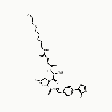 Cc1ncsc1-c1ccc(CNC(=O)[C@@H]2C[C@@H](O)CN2C(=O)C(NC(=O)CCC(=O)NCCOCCOCCN)C(C)(C)C)cc1